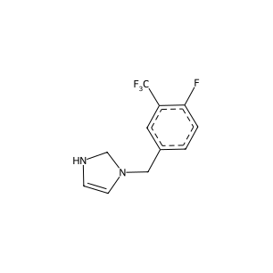 Fc1ccc(CN2C=CNC2)cc1C(F)(F)F